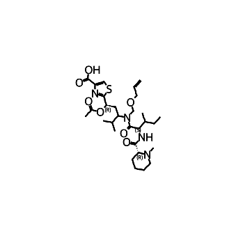 C=CCOCN(C(=O)[C@@H](NC(=O)[C@H]1CCCCN1C)C(C)CC)C(C[C@@H](OC(C)=O)c1nc(C(=O)O)cs1)C(C)C